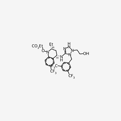 CCOC(=O)ON1c2ccc(C(F)(F)F)cc2[C@@H](NC2=NNN(CCO)N2Cc2cc(C(F)(F)F)cc(C(F)(F)F)c2)C[C@H]1CC